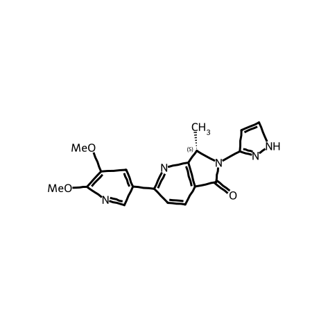 COc1cc(-c2ccc3c(n2)[C@H](C)N(c2cc[nH]n2)C3=O)cnc1OC